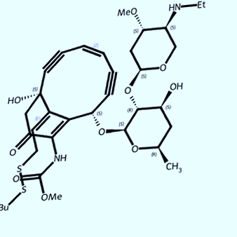 CCN[C@H]1CO[C@@H](O[C@H]2[C@H](O[C@H]3C#C/C=C\C#C[C@]4(O)CC(=O)C(NC(=O)OC)=C3/C4=C\CSSC(C)(C)C)O[C@H](C)C[C@@H]2O)C[C@@H]1OC